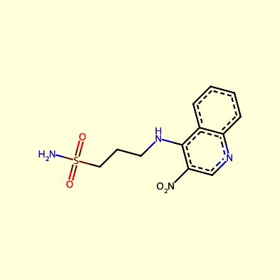 NS(=O)(=O)CCCNc1c([N+](=O)[O-])cnc2ccccc12